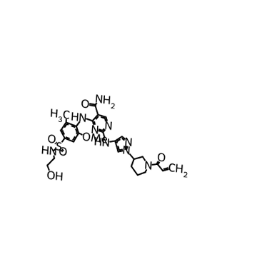 C=CC(=O)N1CCCC(n2cc(Nc3ncc(C(N)=O)c(Nc4c(C)cc(S(=O)(=O)NCCO)cc4OC)n3)cn2)C1